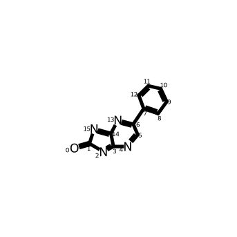 O=C1N=c2ncc(-c3ccccc3)nc2=N1